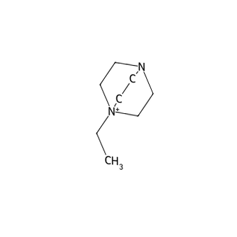 CC[N+]12CCN(CC1)CC2